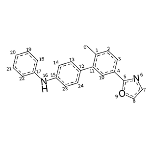 Cc1ccc(-c2ncco2)cc1-c1ccc(Nc2ccccc2)cc1